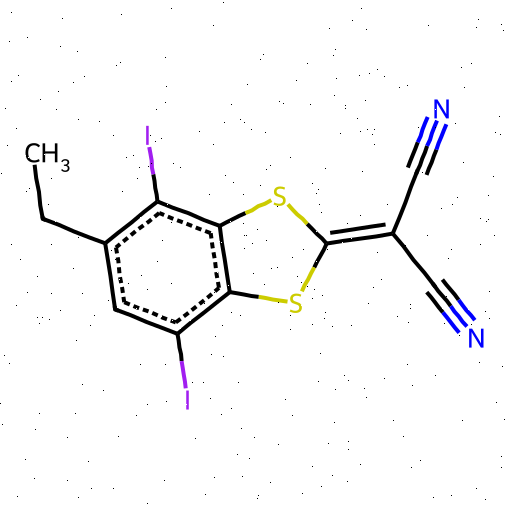 CCc1cc(I)c2c(c1I)SC(=C(C#N)C#N)S2